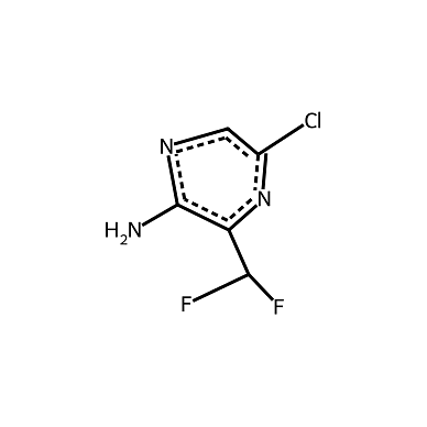 Nc1ncc(Cl)nc1C(F)F